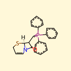 O=C1C(C=P(c2ccccc2)(c2ccccc2)c2ccccc2)[C@@H]2SCC=CN12